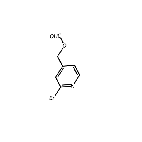 O=COCc1ccnc(Br)c1